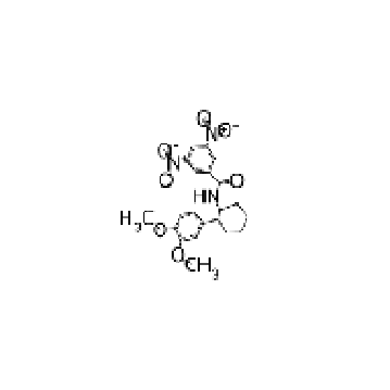 COc1ccc(C2CCCCC2NC(=O)c2cc([N+](=O)[O-])cc([N+](=O)[O-])c2)cc1OC